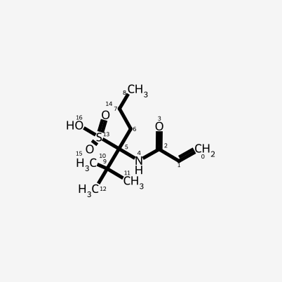 C=CC(=O)NC(CCC)(C(C)(C)C)S(=O)(=O)O